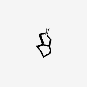 C1=C2CCCC2CN1